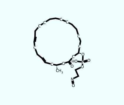 C[C@@H]1C/C=C/CC/C=C/CCCCCCCCCCCC[C@H](OP(=O)(O)OCCN=O)CC(=O)O1